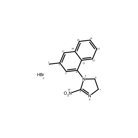 Br.Cc1cc(N2CCN=C2[N+](=O)[O-])c2ccccc2c1